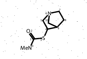 CNC(=O)SC1CN2CCC1C2